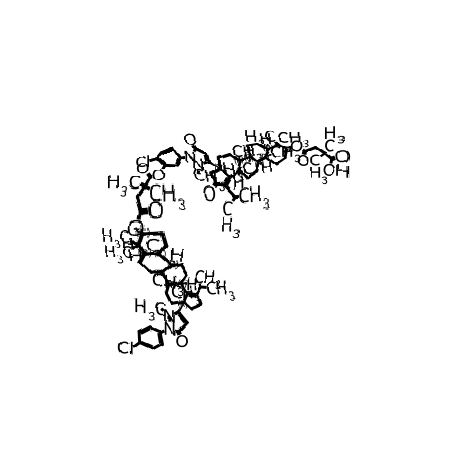 CC(C)C1=C2[C@H]3CC[C@@H]4[C@@]5(C)CC[C@H](OC(=O)CC(C)(C)C(=O)Oc6cc(-n7c(=O)cc([C@@]89CC[C@]%10(C)[C@H](CC[C@@H]%11[C@@]%12(C)CC[C@H](OC(=O)CC(C)(C)C(=O)O)C(C)(C)[C@@H]%12CC[C@]%11%10C)C8=C(C(C)C)C(=O)C9)n7C)ccc6Cl)C(C)(C)[C@@H]5CC[C@@]4(C)[C@]3(C)CC[C@@]2(c2cc(=O)n(-c3ccc(Cl)cc3)n2C)CC1